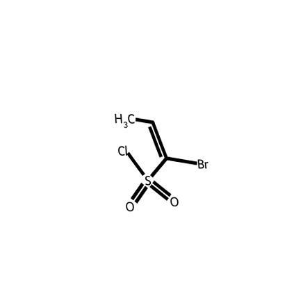 C/C=C(/Br)S(=O)(=O)Cl